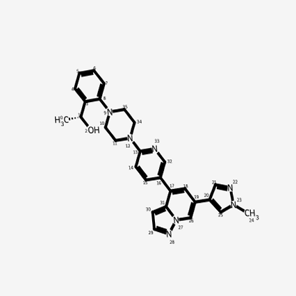 C[C@@H](O)c1ccccc1N1CCN(c2ccc(-c3cc(-c4cnn(C)c4)cn4nccc34)cn2)CC1